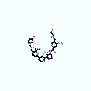 COc1nc(-c2ccnc(-c3cccc(NC(=O)c4cc(C)c(CNCCO)cn4)c3C)c2Cl)ccc1CNC[C@H]1CCC(=O)N1